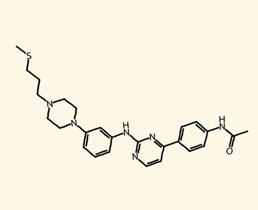 CSCCCN1CCN(c2cccc(Nc3nccc(-c4ccc(NC(C)=O)cc4)n3)c2)CC1